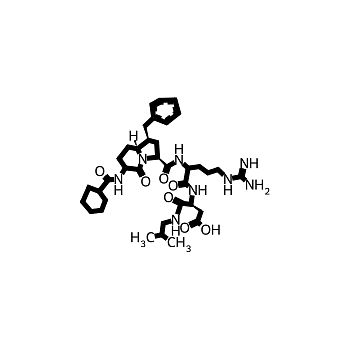 CC(C)CNC(=O)[C@H](CC(=O)O)NC(=O)C(CCCNC(=N)N)NC(=O)[C@@H]1C[C@H](Cc2ccccc2)[C@@H]2CCC(NC(=O)C3CCCCC3)C(=O)N12